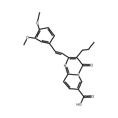 CCCc1c(C=Cc2ccc(OC)c(OC)c2)nc2ccc(C(=O)O)cn2c1=O